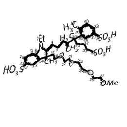 C=C(/C=C/C=C1/N(CC)c2ccc(S(=O)(=O)O)cc2C1(C)CCOCCOCCOCCOC)C(C)(CCCS(=O)(=O)O)c1cc(S(=O)(=O)O)ccc1C